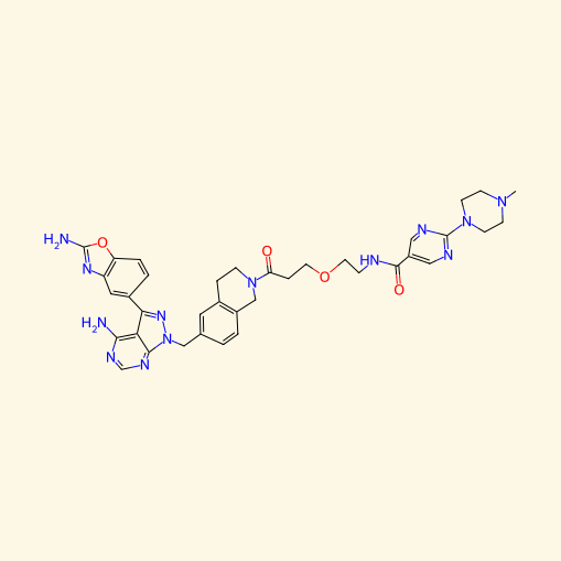 CN1CCN(c2ncc(C(=O)NCCOCCC(=O)N3CCc4cc(Cn5nc(-c6ccc7oc(N)nc7c6)c6c(N)ncnc65)ccc4C3)cn2)CC1